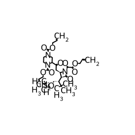 C=CCOC(=O)C(=O)N1C(=O)[C@@H]([C@@H](CO[SiH](C)C)C(C)(C)C)[C@H]1CC(=O)C1CN(C(=O)OCC=C)CCN1C(=O)OCC=C